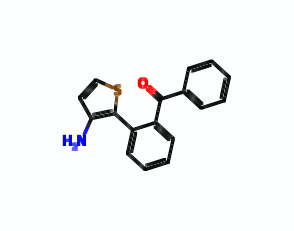 Nc1ccsc1-c1ccccc1C(=O)c1ccccc1